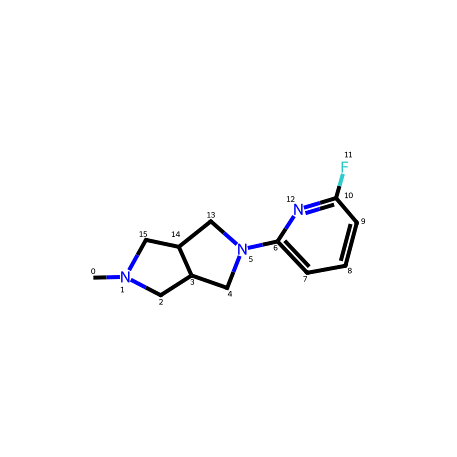 CN1CC2CN(c3cccc(F)n3)CC2C1